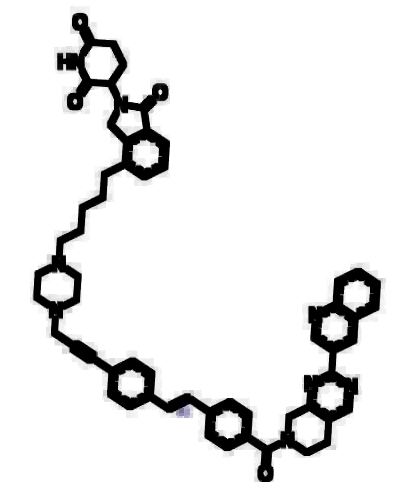 O=C1CCC(N2Cc3c(CCCCCN4CCN(CC#Cc5ccc(/C=C/c6ccc(C(=O)N7CCc8cnc(-c9cnc%10ccccc%10c9)nc8C7)cc6)cc5)CC4)cccc3C2=O)C(=O)N1